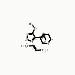 CCC(C)Sc1nsnc1C1CN2CCC1CC2.O=C(O)/C=C/C(=O)O